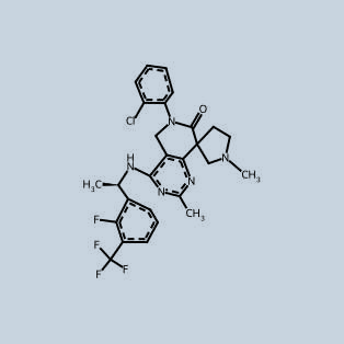 Cc1nc(N[C@H](C)c2cccc(C(F)(F)F)c2F)c2c(n1)C1(CCN(C)C1)C(=O)N(c1ccccc1Cl)C2